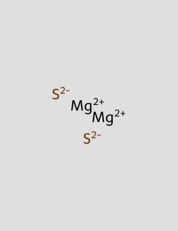 [Mg+2].[Mg+2].[S-2].[S-2]